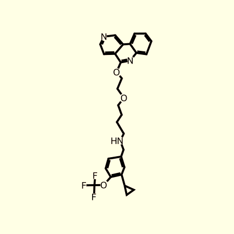 FC(F)(F)Oc1ccc(CNCCCCOCCOc2nc3ccccc3c3cnccc23)cc1C1CC1